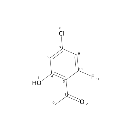 CC(=O)c1c(O)cc(Cl)cc1F